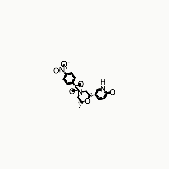 C[C@@H]1CN(S(=O)(=O)c2ccc([N+](=O)[O-])cc2)C[C@H](c2ccc(=O)[nH]c2)O1